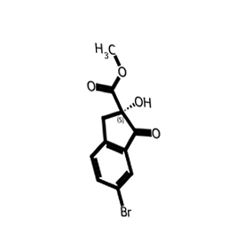 COC(=O)[C@]1(O)Cc2ccc(Br)cc2C1=O